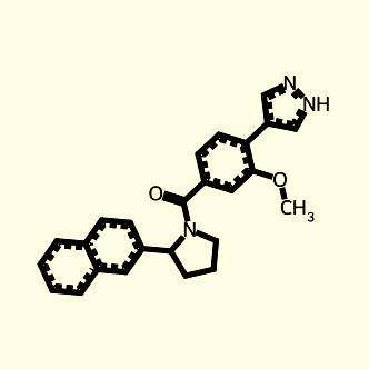 COc1cc(C(=O)N2CCCC2c2ccc3ccccc3c2)ccc1-c1cn[nH]c1